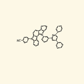 N#Cc1ccc(-n2c3ccccc3c3c2ccc2c4ccccc4n(-c4cccc(-c5cc(-c6ccccc6)cc(-c6ccccc6)n5)c4)c23)cc1